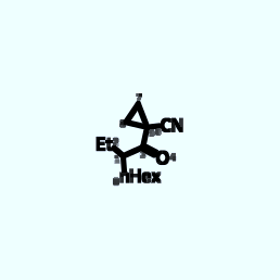 CCCCCCC(CC)C(=O)C1(C#N)CC1